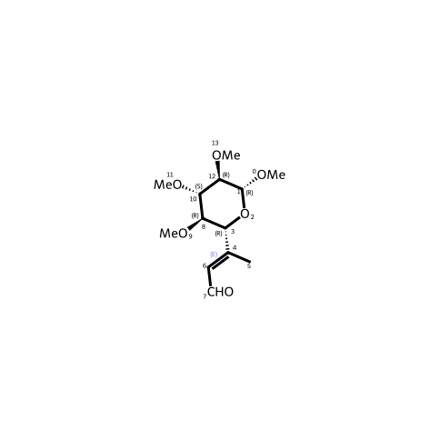 CO[C@@H]1O[C@H](/C(C)=C/C=O)[C@@H](OC)[C@H](OC)[C@H]1OC